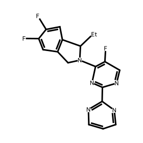 CCC1c2cc(F)c(F)cc2CN1c1nc(-c2ncccn2)ncc1F